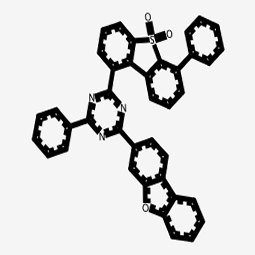 O=S1(=O)c2cccc(-c3nc(-c4ccccc4)nc(-c4ccc5c(c4)oc4ccccc45)n3)c2-c2cccc(-c3ccccc3)c21